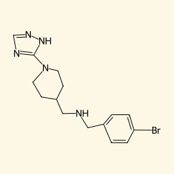 Brc1ccc(CNCC2CCN(c3ncn[nH]3)CC2)cc1